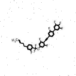 C/C=C/CCc1ccc(C(F)(F)Oc2cc(F)c(C#Cc3ccc(-c4cc(F)c(F)c(F)c4)c(F)c3)c(F)c2)c(F)c1